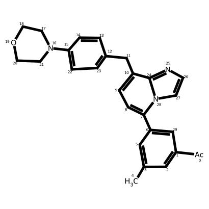 CC(=O)c1cc(C)cc(-c2ccc(Cc3ccc(N4CCOCC4)cc3)c3nccn23)c1